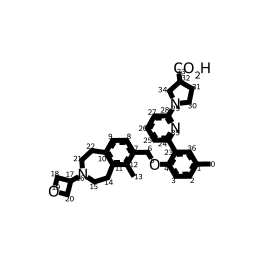 Cc1ccc(OCc2ccc3c(c2C)CCN(C2COC2)CC3)c(-c2cccc(N3CCC(C(=O)O)C3)n2)c1